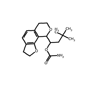 CC(C)(C)CC(OC(N)=O)C1OCCc2ccc3c(c21)OCC3